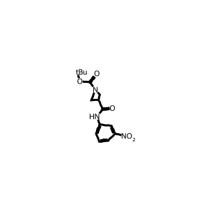 CC(C)(C)OC(=O)N1CC(C(=O)Nc2cccc([N+](=O)[O-])c2)C1